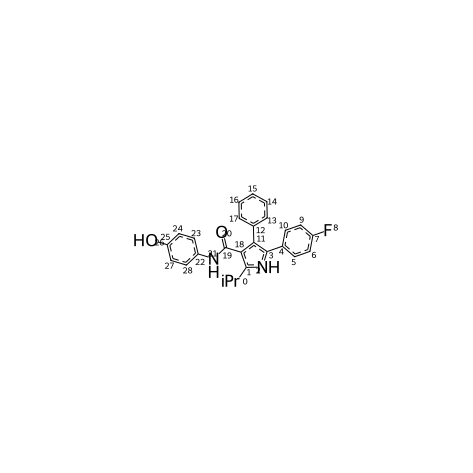 CC(C)c1[nH]c(-c2ccc(F)cc2)c(-c2ccccc2)c1C(=O)Nc1ccc(O)cc1